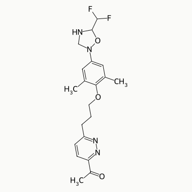 CC(=O)c1ccc(CCCOc2c(C)cc(N3CNC(C(F)F)O3)cc2C)nn1